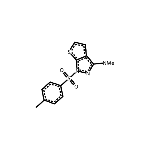 CNc1nn(S(=O)(=O)c2ccc(C)cc2)c2sccc12